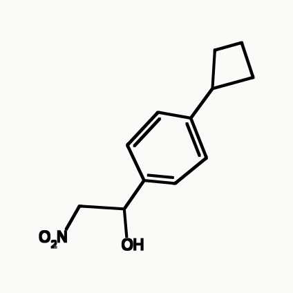 O=[N+]([O-])CC(O)c1ccc(C2CCC2)cc1